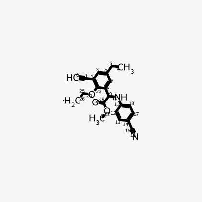 C#Cc1cc(CC)cc(C(Nc2ccc(C#N)cc2)C(=O)OC)c1OC[CH2]